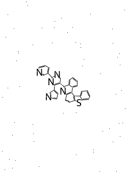 c1cncc(-c2ncc(-c3nc4ccc5sc6ccccc6c5c4c4ccccc34)c(-c3cccnc3)n2)c1